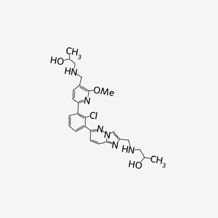 COc1nc(-c2cccc(-c3ccc4nc(CNCC(C)O)cn4n3)c2Cl)ccc1CNCC(C)O